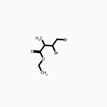 CCOC(=O)C(C)C(Br)CBr